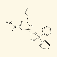 C=CCCN[C@H](CO[Si](c1ccccc1)(c1ccccc1)C(C)(C)C)CC(=O)N(C)OC